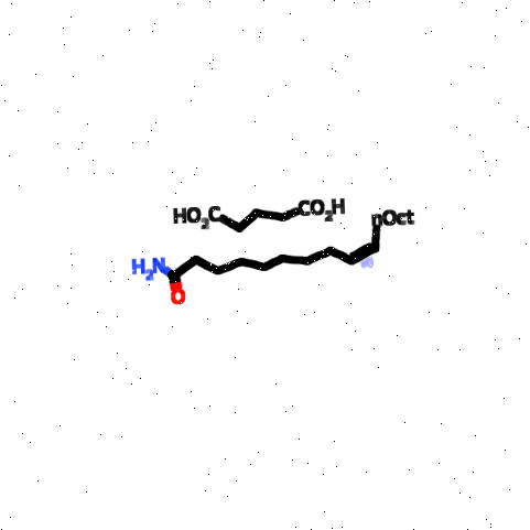 CCCCCCCC/C=C\CCCCCCCC(N)=O.O=C(O)CCCC(=O)O